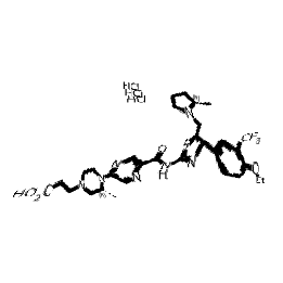 CCOc1ccc(-c2nc(NC(=O)c3cnc(N4CCN(CCC(=O)O)C[C@H]4C)cn3)sc2CN2CCC[C@H]2C)cc1C(F)(F)F.Cl.Cl.Cl